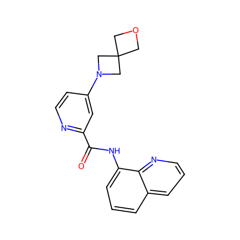 O=C(Nc1cccc2cccnc12)c1cc(N2CC3(COC3)C2)ccn1